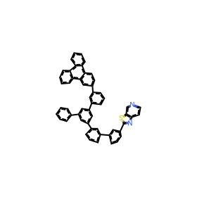 c1ccc(-c2cc(-c3cccc(-c4cccc(-c5nc6ccncc6s5)c4)c3)cc(-c3cccc(-c4ccc5c6ccccc6c6ccccc6c5c4)c3)c2)cc1